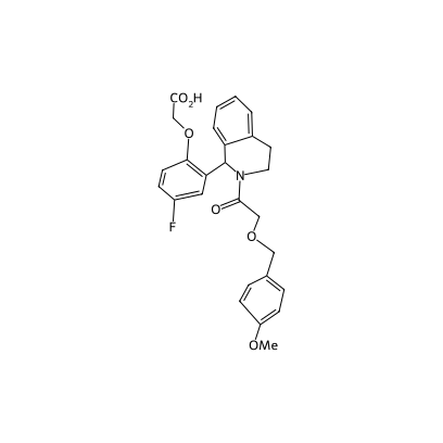 COc1ccc(COCC(=O)N2CCc3ccccc3C2c2cc(F)ccc2OCC(=O)O)cc1